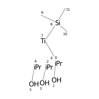 CC(C)O.CC(C)O.CC(C)O.[CH3][Ti][Si](C)(C)C